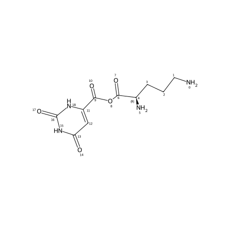 NCCC[C@@H](N)C(=O)OC(=O)c1cc(=O)[nH]c(=O)[nH]1